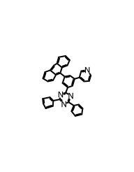 c1ccc(-c2nc(-c3ccccc3)nc(-c3cc(-c4cccnc4)cc(-c4c5ccccc5cc5ccccc45)c3)n2)cc1